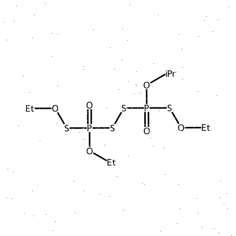 CCOSP(=O)(OCC)SSP(=O)(OC(C)C)SOCC